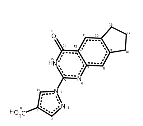 O=C(O)c1cnn(-c2nc3cc4c(cc3c(=O)[nH]2)CCC4)c1